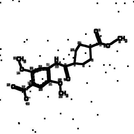 COC(=O)C1CCC(C(=O)Nc2cc(OC)c([N+](=O)[O-])cc2OC)CC1